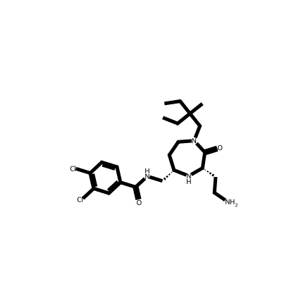 CCC(C)(CC)CN1CC[C@@H](CNC(=O)c2ccc(Cl)c(Cl)c2)N[C@@H](CCN)C1=O